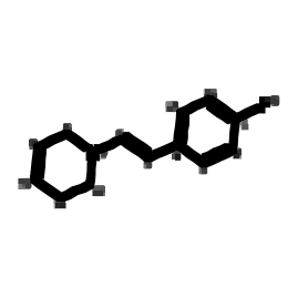 Fc1ccc(/C=C/N2CC=CCC2)cc1